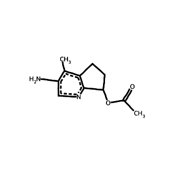 CC(=O)OC1CCc2c1ncc(N)c2C